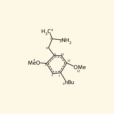 CCCCc1cc(OC)c(CC(C)N)cc1OC